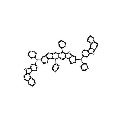 c1ccc(-c2c3cc4oc5cc(N(c6ccccc6)c6ccc7c(c6)oc6ccc8ccccc8c67)ccc5c4c(-c4ccccc4)c3cc3c2oc2cc(N(c4ccccc4)c4ccc5c(c4)oc4ccc6ccccc6c45)ccc23)cc1